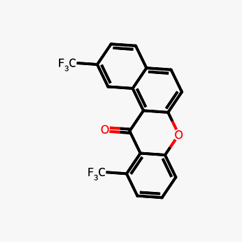 O=c1c2c(C(F)(F)F)cccc2oc2ccc3ccc(C(F)(F)F)cc3c12